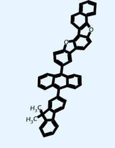 CC1(C)c2ccccc2-c2ccc(-c3c4ccccc4c(-c4ccc5oc6c(ccc7oc8c9ccccc9ccc8c76)c5c4)c4ccccc34)cc21